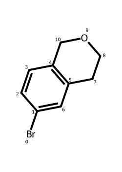 Brc1ccc2c(c1)CCOC2